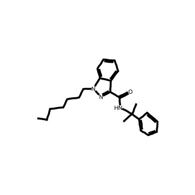 CCCCCCCn1nc(C(=O)NC(C)(C)c2ccccc2)c2ccccc21